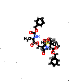 C[C@H](NC(=O)OCc1ccccc1)C(=O)OC[C@@H]1C(=O)N2[C@@H](C(=O)OCc3ccccc3)C(C)(C)S(=O)(=O)[C@H]12